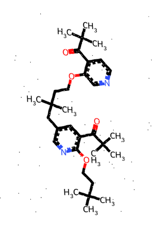 CC(C)(C)CCOc1ncc(CC(C)(C)CCOc2cnccc2C(=O)C(C)(C)C)cc1C(=O)C(C)(C)C